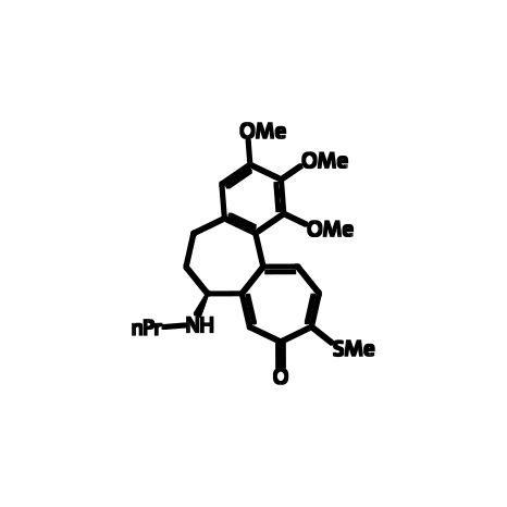 CCCN[C@H]1CCc2cc(OC)c(OC)c(OC)c2-c2ccc(SC)c(=O)cc21